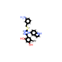 CC(C)c1cc(-c2nnc(SCc3cccc(N)c3)n2-c2ccc3[nH]ccc3c2)c(O)cc1O